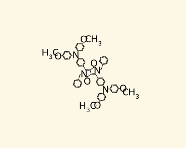 COc1ccc(N(c2ccc(OC)cc2)c2ccc(C3=C4C(=O)N(Cc5ccccc5)C(c5ccc(N(c6ccc(OC)cc6)c6ccc(OC)cc6)cc5)=C4C(=O)N3Cc3ccccc3)cc2)cc1